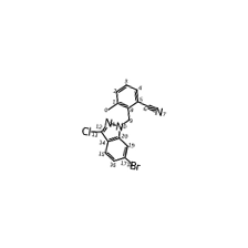 Cc1cccc(C#N)c1Cn1nc(Cl)c2ccc(Br)cc21